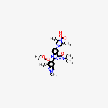 COCOc1c(-c2nc(C(=O)NC(C)C)c3cc(N4C[C@@H](C)N(C(=O)O)[C@@H](C)C4)ccc3n2)cc2cn(C)nc2c1C